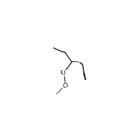 CCC(CC)OOC